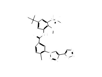 COc1c(NC(=O)c2ccc(C)c(-n3cc(-c4cnn[nH]4)nn3)c2)cc(C(C)(C)C)cc1NS(C)(=O)=O